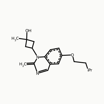 C=C1N=Cc2cc(OCCC(C)C)ccc2N1C1CC(C)(O)C1